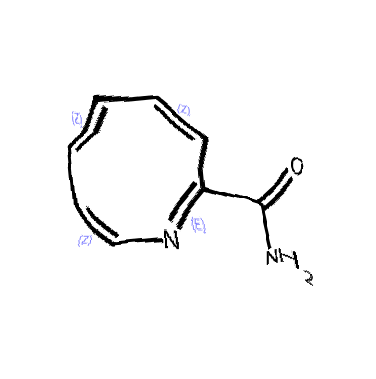 NC(=O)C1=N/C=C\C=C/C=C\1